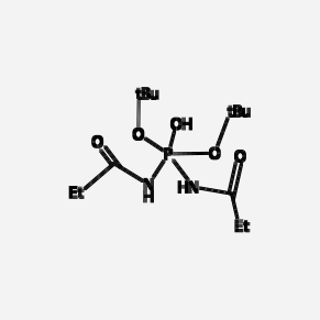 CCC(=O)NP(O)(NC(=O)CC)(OC(C)(C)C)OC(C)(C)C